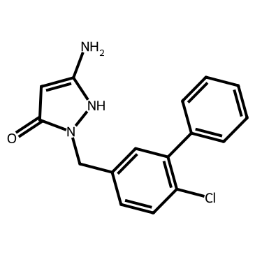 Nc1cc(=O)n(Cc2ccc(Cl)c(-c3ccccc3)c2)[nH]1